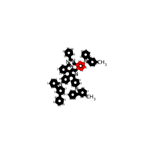 Cc1ccc2c(c1)c1ccccc1n2-c1ccc(-c2cc(-c3ccccc3-c3nc(-c4ccccc4)nc(-c4ccccc4)n3)c(-c3ccc(-n4c5ccccc5c5cc(-c6ccccc6)ccc54)cc3)c(-c3ccc(-n4c5ccccc5c5cc(C)ccc54)cc3)n2)cc1